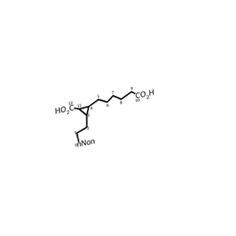 CCCCCCCCCCCC1C(CCCCCC(=O)O)C1C(=O)O